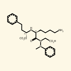 CCOC(=O)[C@H](CCc1ccccc1)N[C@@H](CCCCN)C(=O)N(CC(=O)O)N(C)c1ccccc1